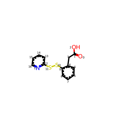 O=C(O)Cc1ccccc1SSc1ccccn1